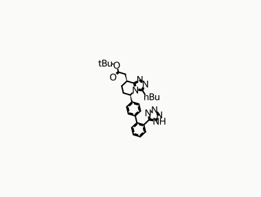 CCCCc1nnc2n1[C@@H](c1ccc(-c3ccccc3-c3nnn[nH]3)cc1)CC[C@H]2CC(=O)OC(C)(C)C